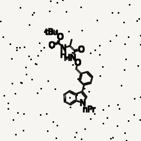 CCCn1cc(-c2cccc(CONC(=O)C(C)NC(=O)OC(C)(C)C)c2)c2ccccc21